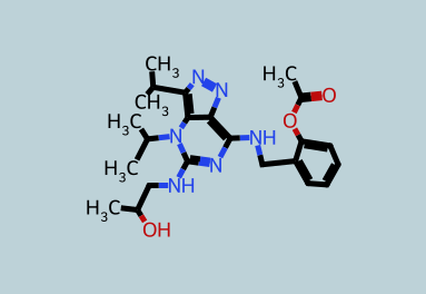 CC(=O)Oc1ccccc1CNc1nc(NCC(C)O)n(C(C)C)c2c(C(C)C)nnc1-2